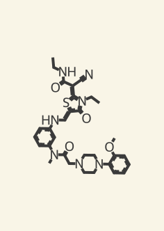 CCNC(=O)C(C#N)=c1sc(=CNc2cccc(N(C)C(=O)CN3CCN(c4ccccc4OC)CC3)c2)c(=O)n1CC